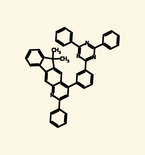 CC1(C)c2ccccc2-c2cc3nc(-c4ccccc4)cc(-c4cccc(-c5nc(-c6ccccc6)nc(-c6ccccc6)n5)c4)c3cc21